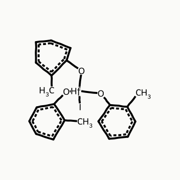 Cc1ccccc1[O][Hf]([I])([O]c1ccccc1C)[O]c1ccccc1C